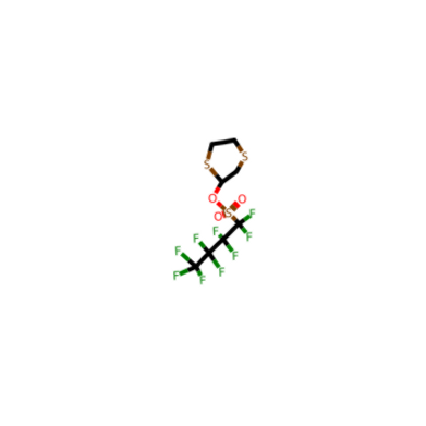 O=S(=O)(OC1CSCCS1)C(F)(F)C(F)(F)C(F)(F)C(F)(F)F